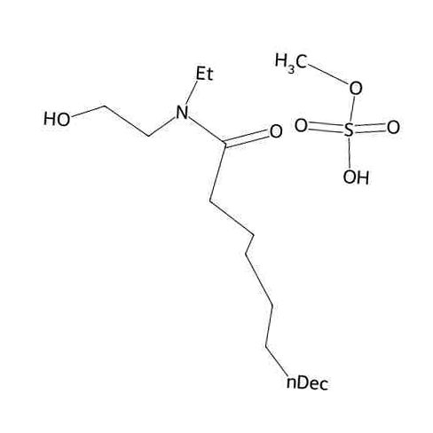 CCCCCCCCCCCCCCCC(=O)N(CC)CCO.COS(=O)(=O)O